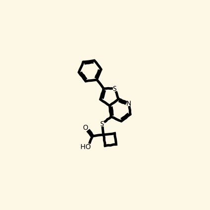 O=C(O)C1(Sc2ccnc3sc(-c4ccccc4)cc23)CCC1